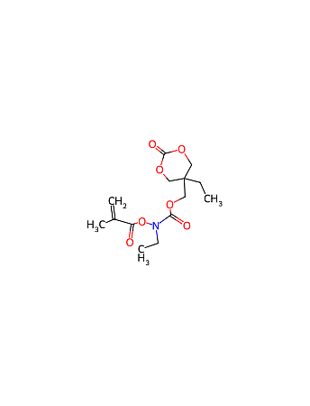 C=C(C)C(=O)ON(CC)C(=O)OCC1(CC)COC(=O)OC1